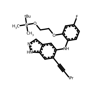 CC(C)C#Cc1cc2[nH]ncc2cc1Nc1ccc(F)cc1OCCO[Si](C)(C)C(C)(C)C